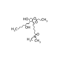 CCCCC[C@H](O)C=C[C@@H]1C(SCCCCCC(=O)N(CC)CC)=C(OC(=O)CCC)C[C@H]1O